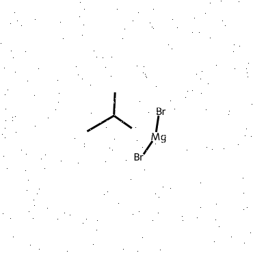 CC(C)C.[Br][Mg][Br]